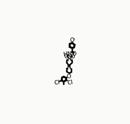 COc1ccc(C(=O)NS(=O)(=O)N2CCC(N3CCC(Oc4ccc(Cl)c(C)c4Cl)CC3)CC2)cc1